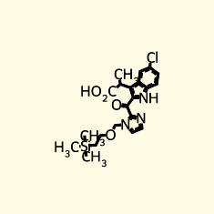 CC(C(=O)O)c1c(C(=O)c2nccn2COCC[Si](C)(C)C)[nH]c2ccc(Cl)cc12